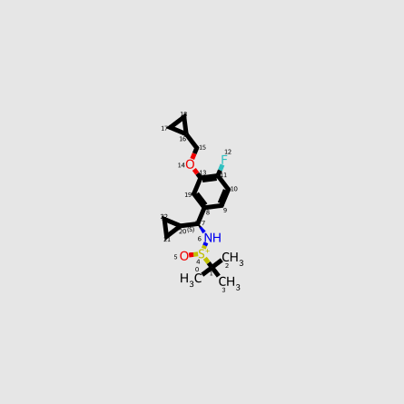 CC(C)(C)[S+]([O-])N[C@H](c1ccc(F)c(OCC2CC2)c1)C1CC1